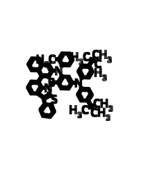 Cc1ccccc1N1c2cc(N(c3ccc(C(C)(C)C)cc3)c3ccc(C(C)(C)C)cc3)ccc2B2c3c1cc1ccccc1c3-c1cccc3c4c5ccccc5sc4n2c13